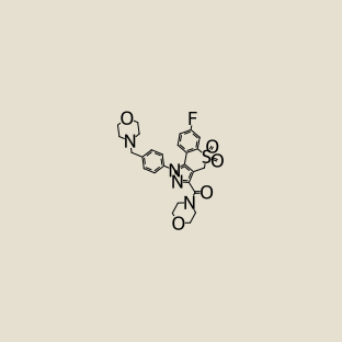 O=C(c1nn(-c2ccc(CN3CCOCC3)cc2)c2c1CS(=O)(=O)c1cc(F)ccc1-2)N1CCOCC1